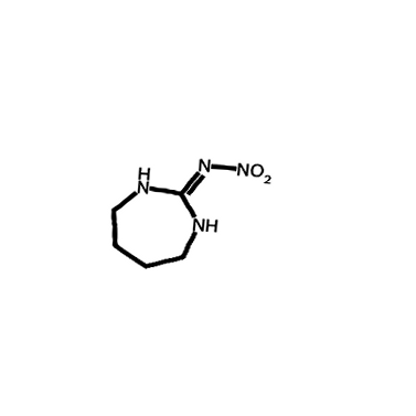 O=[N+]([O-])N=C1NCCCCN1